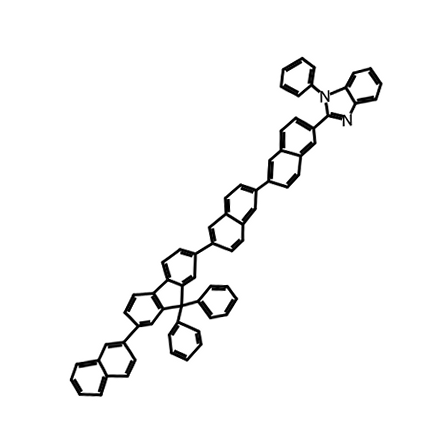 c1ccc(-n2c(-c3ccc4cc(-c5ccc6cc(-c7ccc8c(c7)C(c7ccccc7)(c7ccccc7)c7cc(-c9ccc%10ccccc%10c9)ccc7-8)ccc6c5)ccc4c3)nc3ccccc32)cc1